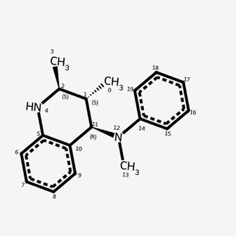 C[C@H]1[C@H](C)Nc2ccccc2[C@@H]1N(C)c1ccccc1